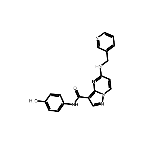 Cc1ccc(NC(=O)c2cnn3ccc(NCc4cccnc4)nc23)cc1